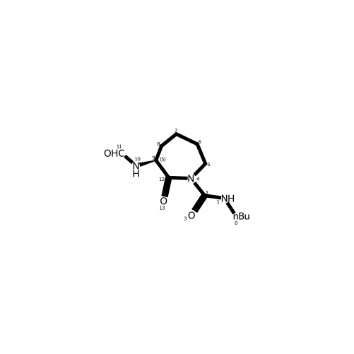 CCCCNC(=O)N1CCCC[C@H](NC=O)C1=O